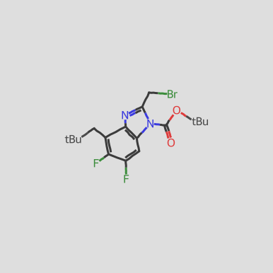 CC(C)(C)Cc1c(F)c(F)cc2c1nc(CBr)n2C(=O)OC(C)(C)C